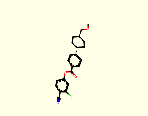 COC[C@H]1CC[C@H](c2ccc(C(=O)Oc3ccc(C#N)c(Cl)c3)cc2)CC1